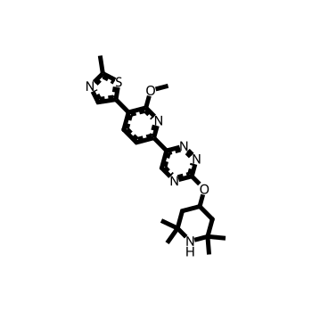 COc1nc(-c2cnc(OC3CC(C)(C)NC(C)(C)C3)nn2)ccc1-c1cnc(C)s1